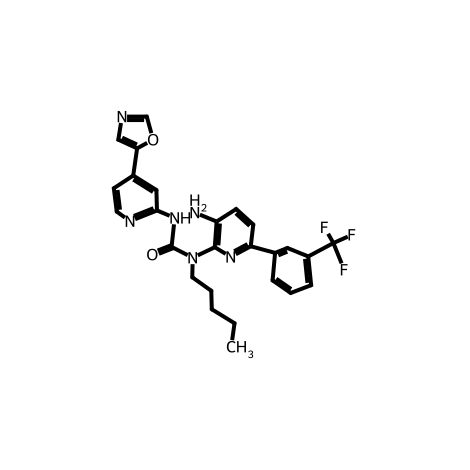 CCCCCN(C(=O)Nc1cc(-c2cnco2)ccn1)c1nc(-c2cccc(C(F)(F)F)c2)ccc1N